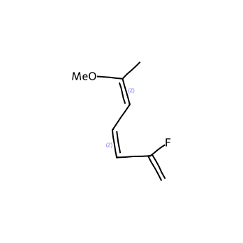 C=C(F)/C=C\C=C(\C)OC